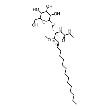 CCCCCCCCCCCCC/C=C/[C@H](OC)[C@H](COC1OC(CO)C(O)C(O)C1O)NC(=O)NC